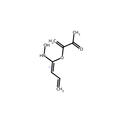 C=C/C=C(/NO)OC(=C)C(C)=O